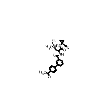 CC(=O)c1ccc(-c2cccc(C(=O)NC(C[Si](C)(C)C)C(=O)NC3(C#N)CC3)c2)cc1